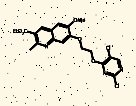 CCOC(=O)c1cc2cc(OC)c(OCCOc3nc(Cl)ncc3Cl)cc2nc1C